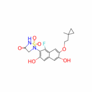 CC1(CCOc2cc3c(F)c(N4CC(=O)NS4(=O)=O)c(O)cc3cc2O)CC1